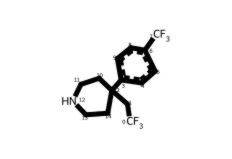 FC(F)(F)CC1(c2ccc(C(F)(F)F)cc2)CCNCC1